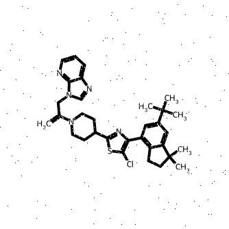 C=C(Cn1cnc2cccnc21)N1CCC(c2nc(-c3cc(C(C)(C)C)cc4c3CCC4(C)C)c(Cl)s2)CC1